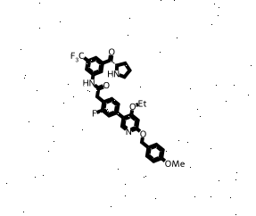 CCOc1cc(OCc2ccc(OC)cc2)ncc1-c1ccc(CC(=O)Nc2cc(C(=O)[C@@H]3CCCN3)cc(C(F)(F)F)c2)c(F)c1